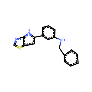 c1ccc(CNc2cccc(-c3cc4scnc4[nH]3)c2)cc1